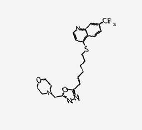 FC(F)(F)c1ccc2c(SCCCCCCc3nnc(CN4CCOCC4)o3)ccnc2c1